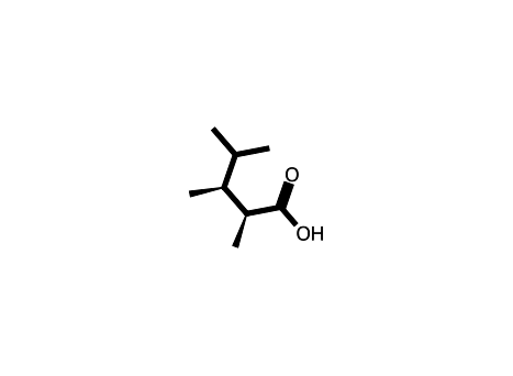 CC(C)[C@H](C)[C@H](C)C(=O)O